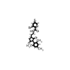 Cc1cc(C)c(C2C(=O)CC(CCNC(=O)c3ncc(F)cc3Br)C2=O)c(C)c1